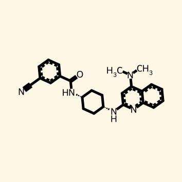 CN(C)c1cc(N[C@H]2CC[C@@H](NC(=O)c3cccc(C#N)c3)CC2)nc2ccccc12